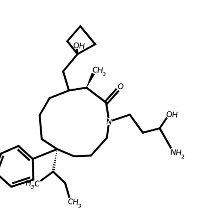 CCC(C)[C@]1(c2ccccc2)CCCC(CC2(O)CCC2)[C@@H](C)C(=O)N(CCC(N)O)CCC1